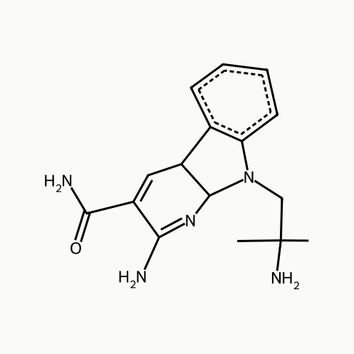 CC(C)(N)CN1c2ccccc2C2C=C(C(N)=O)C(N)=NC21